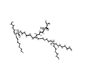 CCCCCCCCN(CCCCCC)S(=O)(=O)CCCCCCN(CCCCCCS(=O)(=O)N(CCCCCC)CCCCCCCC)CCCCNC(=S)N(C)C